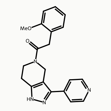 COc1ccccc1CC(=O)N1CCc2[nH]nc(-c3ccncc3)c2C1